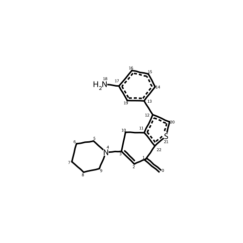 C=C1C=C(N2CCCCC2)Cc2c(-c3cccc(N)c3)csc21